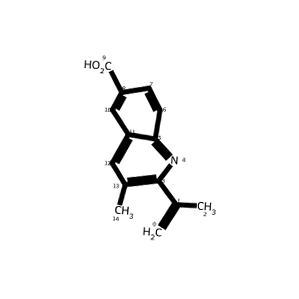 C=C(C)c1nc2ccc(C(=O)O)cc2cc1C